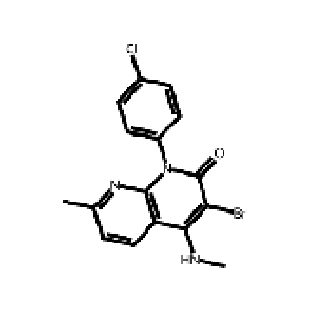 CNc1c(Br)c(=O)n(-c2ccc(Cl)cc2)c2nc(C)ccc12